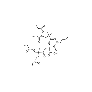 CCC(=O)OCC(C)(COC(=O)CC)C(=O)O[C@@H](C(=O)O)[C@@H](OC(=O)C(C)(COC(=O)CC)COC(=O)CC)C(=O)OCCOC